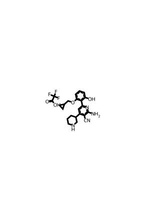 N#Cc1c(C2CCCNC2)cc(-c2c(O)cccc2OCC2CC2)nc1N.O=C(O)C(F)(F)F